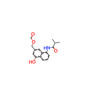 CC(C)C(=O)Nc1cccc2c(O)cc(COC=O)cc12